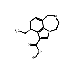 CCCNC(=O)c1cn2c3c1[C@@H](CC(F)(F)F)CC=C3CNCC2